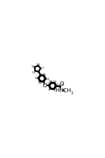 CNC(=O)c1ccc(Oc2ccc(C3CCCC3)cc2)cc1